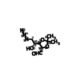 CC1(C)O[C@H]([C@H](O)CN=[N+]=[N-])[C@@H](C=O)O1